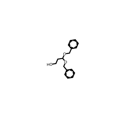 OCCC(OCc1ccccc1)OCc1ccccc1